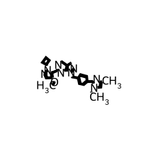 CCn1cc(C)nc1-c1ccc(Cn2ncc3cnc(-c4c(OC)cnn4C4CCC4)nc32)cc1